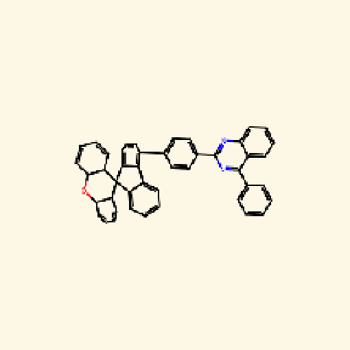 C1=CC2OC3C=CC=CC3C3(c4ccccc4-c4c(-c5ccc(-c6nc(-c7ccccc7)c7ccccc7n6)cc5)cccc43)C2C=C1